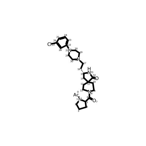 CC(=O)N1CCCC1C(=O)N1CCC2(CC1)C[C@H](CCN1CCN(c3cccc(Cl)c3)CC1)NC2=O